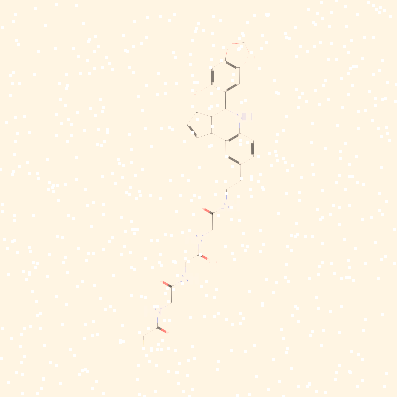 O=C(CS)NCC(=O)NCC(=O)NCC(=O)NCCc1ccc2c(c1)C1C=CCC1C(c1cc3c(cc1Br)OCO3)N2